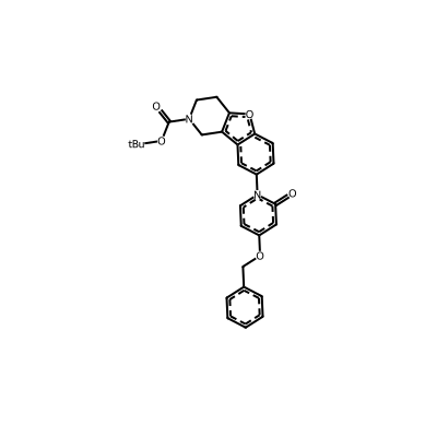 CC(C)(C)OC(=O)N1CCc2oc3ccc(-n4ccc(OCc5ccccc5)cc4=O)cc3c2C1